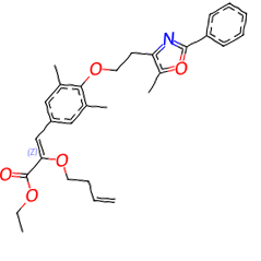 C=CCCO/C(=C\c1cc(C)c(OCCc2nc(-c3ccccc3)oc2C)c(C)c1)C(=O)OCC